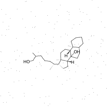 CC(CO)CCC[C@@H](C)[C@H]1CC[C@H]2C3(O)CCC4CCCC[C@]4(C)[C@H]3CC[C@]12C